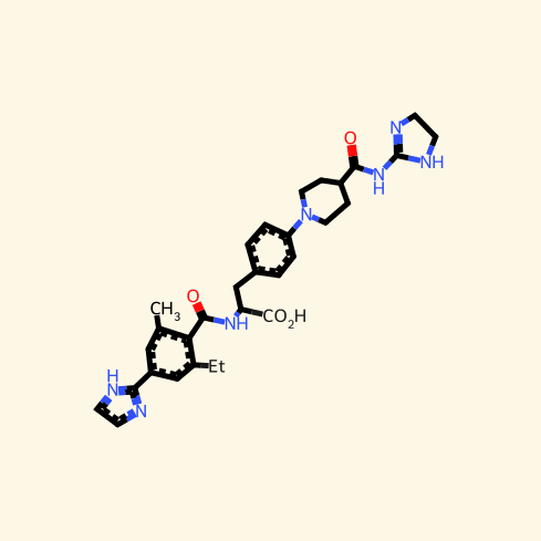 CCc1cc(-c2ncc[nH]2)cc(C)c1C(=O)NC(Cc1ccc(N2CCC(C(=O)NC3=NCCN3)CC2)cc1)C(=O)O